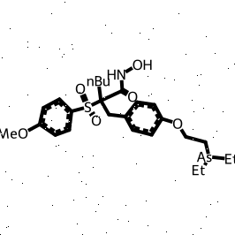 CCCCC(Cc1ccc(OCC[As](CC)CC)cc1)(C(=O)NO)S(=O)(=O)c1ccc(OC)cc1